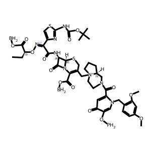 BOC(=O)C1=C(C[N+]23CCC[C@H]2CN(C(=O)c2cc(=O)c(OP)cn2Cc2ccc(OC)cc2OC)CC3)CS[C@@H]2[C@H](NC(=O)/C(=N\O[C@@H](CC)C(=O)OB)c3csc(NC(=O)OC(C)(C)C)n3)C(=O)N12